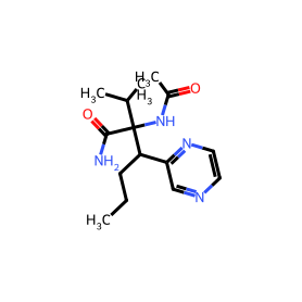 CCCC(c1cnccn1)C(NC(C)=O)(C(N)=O)C(C)C